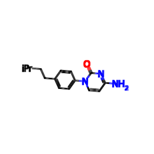 CC(C)CCc1ccc(-n2ccc(N)nc2=O)cc1